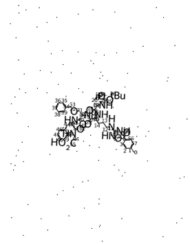 Cc1ccc(S(=O)(=O)NC(=N)NCCC[C@H](NC(=O)[C@H](CC(C)C)NC(=O)OC(C)(C)C)C(=O)N[C@@H](COCc2ccccc2)C(=O)N[C@@H](Cc2ccccc2)C(=O)NCC(=O)O)cc1